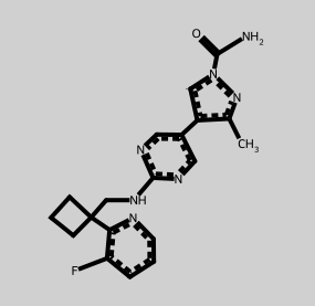 Cc1nn(C(N)=O)[c]c1-c1cnc(NCC2(c3ncccc3F)CCC2)nc1